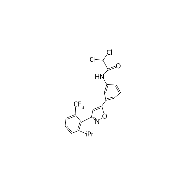 CC(C)c1cccc(C(F)(F)F)c1-c1cc(-c2cccc(NC(=O)C(Cl)Cl)c2)on1